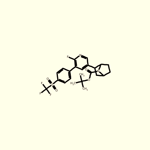 CC(C)(C)OC(=O)N1C2CCC1C(c1cnc(F)c(-c3ccc(S(=O)(=O)C(F)(F)F)cc3)c1)C2